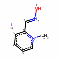 C[n+]1ccccc1/C=N/O.[I-]